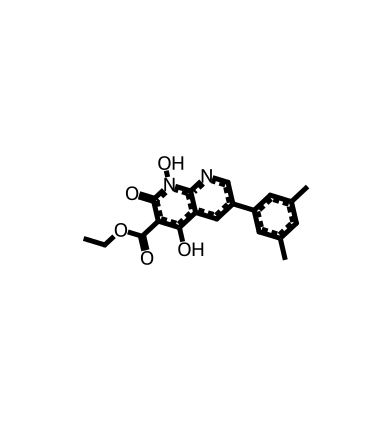 CCOC(=O)c1c(O)c2cc(-c3cc(C)cc(C)c3)cnc2n(O)c1=O